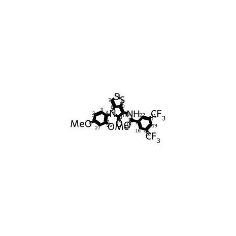 COc1ccc(-n2c3cssc-3c(NC(=O)c3cc(C(F)(F)F)cc(C(F)(F)F)c3)c2=O)c(OC)c1